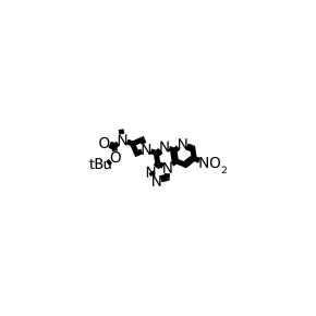 CN(C(=O)OC(C)(C)C)C1CN(c2nc3ncc([N+](=O)[O-])cc3n3cnnc23)C1